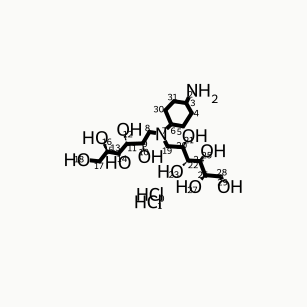 Cl.Cl.NC1CCC(N(C[C@H](O)[C@@H](O)[C@H](O)[C@H](O)CO)C[C@H](O)[C@@H](O)[C@H](O)[C@H](O)CO)CC1